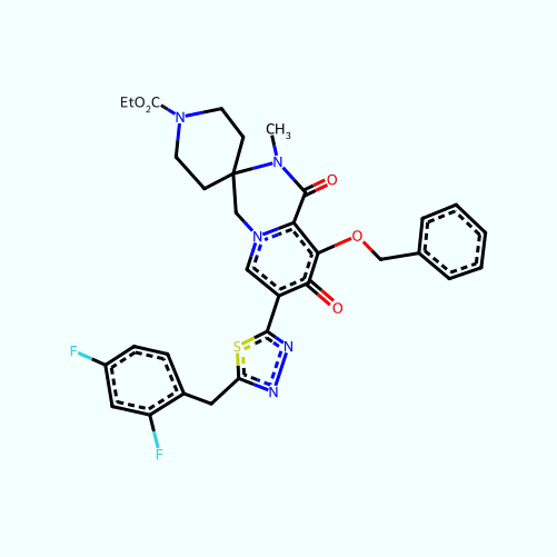 CCOC(=O)N1CCC2(CC1)Cn1cc(-c3nnc(Cc4ccc(F)cc4F)s3)c(=O)c(OCc3ccccc3)c1C(=O)N2C